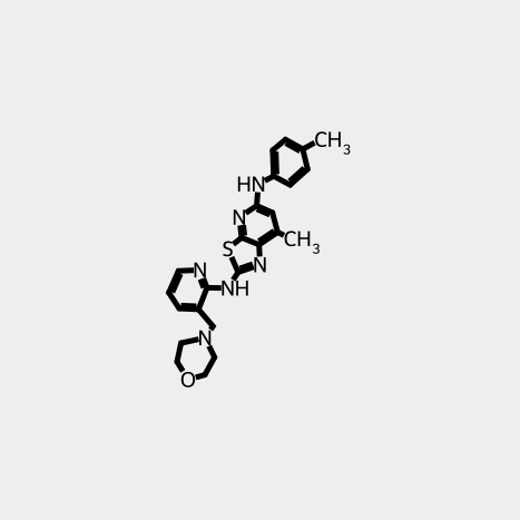 Cc1ccc(Nc2cc(C)c3nc(Nc4ncccc4CN4CCOCC4)sc3n2)cc1